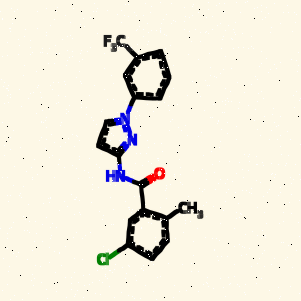 Cc1ccc(Cl)cc1C(=O)Nc1ccn(-c2cccc(C(F)(F)F)c2)n1